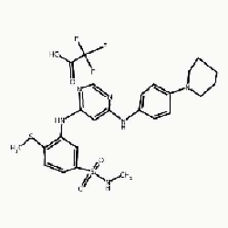 CNS(=O)(=O)c1ccc(SC)c(Nc2cc(Nc3ccc(N4CCCCC4)cc3)ncn2)c1.O=C(O)C(F)(F)F